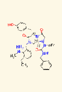 C=Cc1cccc(CN2C[C@H]3N(C(=O)CN3N(CCC)C(=O)NCc3ccccc3)[C@@H](Cc3ccc(O)cc3)C2=O)c1N(C)N